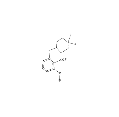 CCOc1cccc(CC2CCC(F)(F)CC2)c1C(=O)O